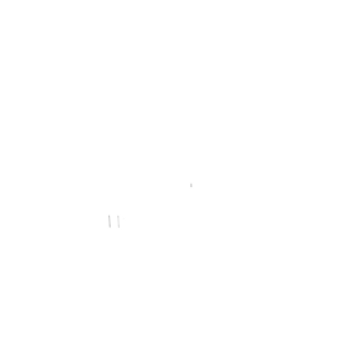 CCCCOC[C@@H](O)CC